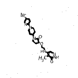 Cc1c(NCCO[C@@H]2CCN(C3CCN(c4ccc(C#N)cn4)CC3)C2=O)cn[nH]c1=O